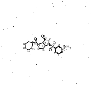 N[n+]1cccc(S(=O)(=O)N2CC(=O)C3C2CCN3C(=O)[C]2CCCCC2)c1